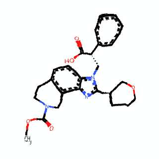 COC(=O)N1CCc2ccc3c(nc([C@@H]4CCCOC4)n3C[C@H](C(=O)O)c3ccccc3)c2C1